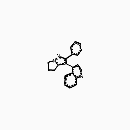 c1ccc(-c2nn3c(c2-c2ccnc4ccccc24)CCC3)cc1